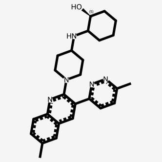 Cc1ccc2nc(N3CCC(NC4CCCC[C@@H]4O)CC3)c(-c3ccc(C)nn3)cc2c1